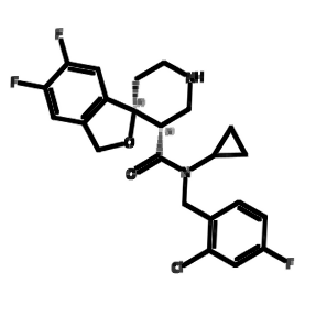 O=C([C@H]1CNCC[C@@]12OCc1cc(F)c(F)cc12)N(Cc1ccc(F)cc1Cl)C1CC1